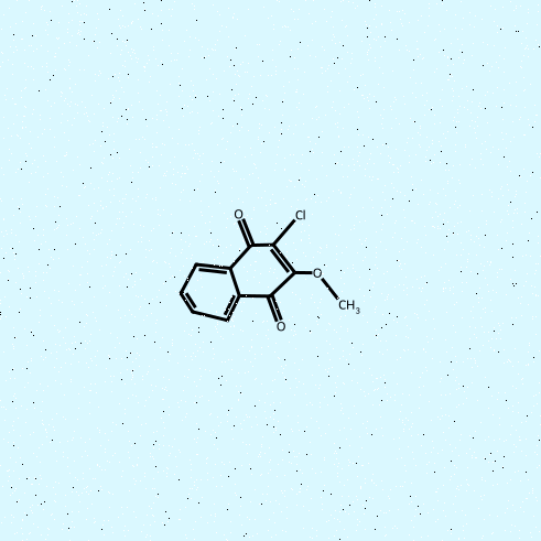 COC1=C(Cl)C(=O)c2ccccc2C1=O